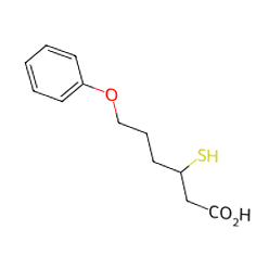 O=C(O)CC(S)CCCOc1ccccc1